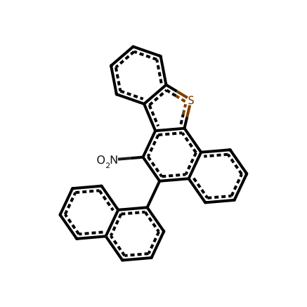 O=[N+]([O-])c1c(-c2cccc3ccccc23)c2ccccc2c2sc3ccccc3c12